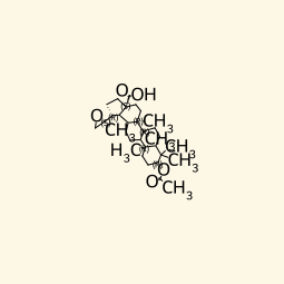 CC(=O)O[C@@H]1CC[C@@]2(C)C(CC[C@]3(C)C2CCC2C4[C@H]([C@@]5(C)CO5)CC[C@]4(C(=O)O)CC[C@]23C)C1(C)C